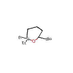 CC[Si]1(CC)CCCC(C(C)(C)C)O1